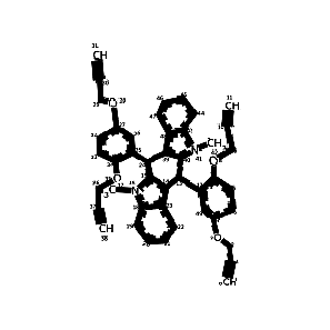 C#CCOc1ccc(OCC#C)c(C2c3c(n(C)c4ccccc34)C(c3cc(OCC#C)ccc3OCC#C)c3c2n(C)c2ccccc32)c1